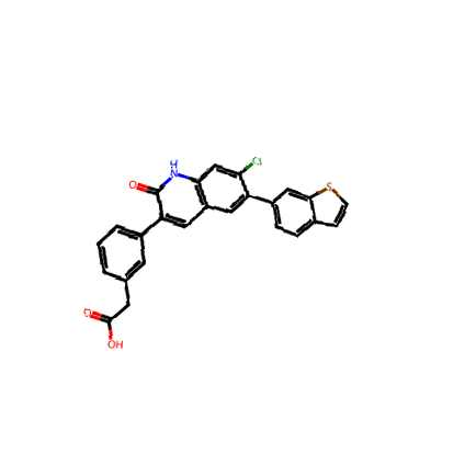 O=C(O)Cc1cccc(-c2cc3cc(-c4ccc5ccsc5c4)c(Cl)cc3[nH]c2=O)c1